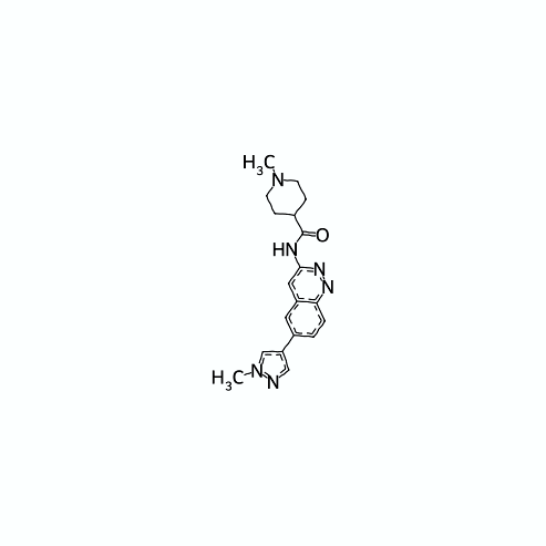 CN1CCC(C(=O)Nc2cc3cc(-c4cnn(C)c4)ccc3nn2)CC1